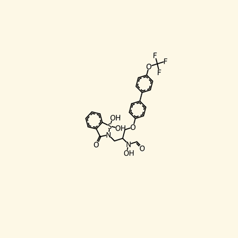 O=CN(O)C(COc1ccc(-c2ccc(OC(F)(F)F)cc2)cc1)CN1C(=O)c2ccccc2S1(O)O